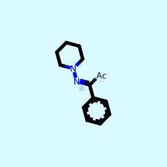 CC(=O)/C(=N\N1CCCCC1)c1ccccc1